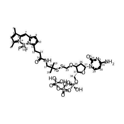 CC1=CC(C)=[N+]2C1=Cc1ccc(CCC(=O)NCC(C)(C)SSCOC3C[C@H](n4ccc(N)nc4=O)O[C@@H]3COP(=O)(O)OP(=O)(O)OP(=O)(O)O)n1[B-]2(F)F